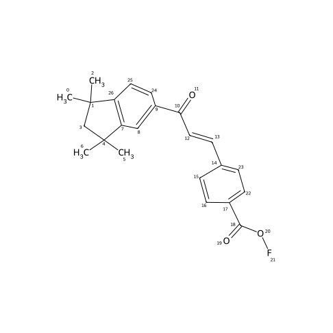 CC1(C)CC(C)(C)c2cc(C(=O)C=Cc3ccc(C(=O)OF)cc3)ccc21